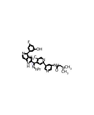 CCC/N=C(/c1cc2c(-c3cc(O)cc(F)c3)nccc2[nH]1)c1cc(-c2cncc(NC(=O)CN(C)C)c2)ncc1C